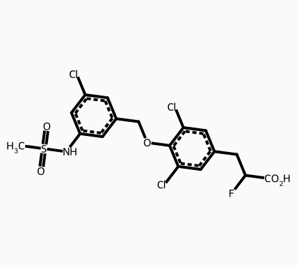 CS(=O)(=O)Nc1cc(Cl)cc(COc2c(Cl)cc(CC(F)C(=O)O)cc2Cl)c1